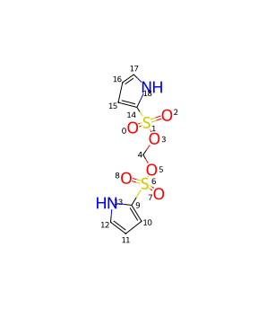 O=S(=O)(OCOS(=O)(=O)c1ccc[nH]1)c1ccc[nH]1